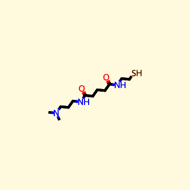 CN(C)CCCNC(=O)CCCC(=O)NCCS